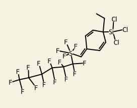 CCC1([Si](Cl)(Cl)Cl)C=CC(=CS(F)(F)(F)(F)C(F)(F)C(F)(F)C(F)(F)C(F)(F)C(F)(F)C(F)(F)F)C=C1